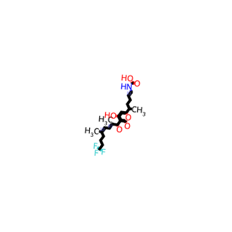 C/C(=C/C=C(\C)C(=O)c1c(O)cc(C(C)CC/C=C/NC(=O)O)oc1=O)CCCC(F)(F)F